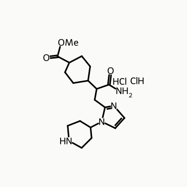 COC(=O)C1CCC(C(Cc2nccn2C2CCNCC2)C(N)=O)CC1.Cl.Cl